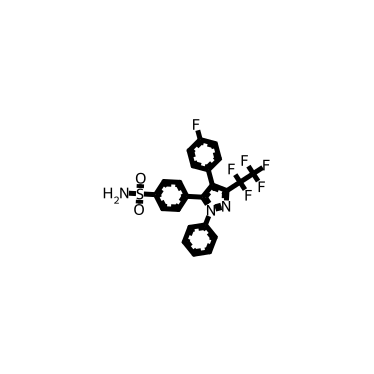 NS(=O)(=O)c1ccc(-c2c(-c3ccc(F)cc3)c(C(F)(F)C(F)(F)F)nn2-c2ccccc2)cc1